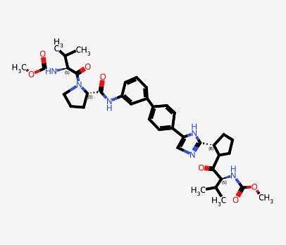 COC(=O)N[C@H](C(=O)C1CCC[C@H]1c1ncc(-c2ccc(-c3cccc(NC(=O)[C@@H]4CCCN4C(=O)[C@@H](NC(=O)OC)C(C)C)c3)cc2)[nH]1)C(C)C